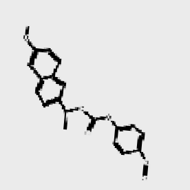 COc1ccc2cc(C(C)OC(=O)Oc3ccc(N=O)cc3)ccc2c1